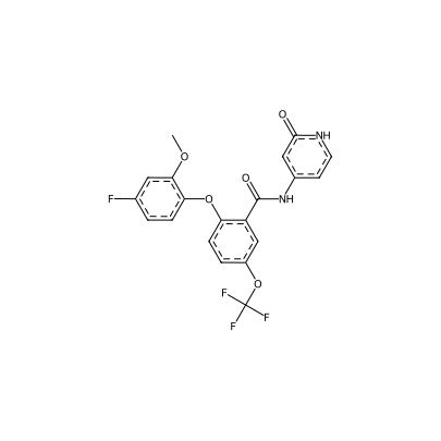 COc1cc(F)ccc1Oc1ccc(OC(F)(F)F)cc1C(=O)Nc1cc[nH]c(=O)c1